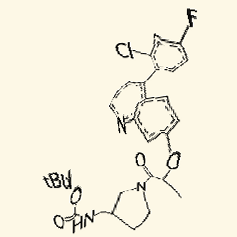 CC(Oc1ccc2c(-c3ccc(F)cc3Cl)ccnc2c1)C(=O)N1CCC(NC(=O)OC(C)(C)C)C1